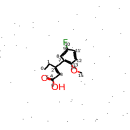 CCC(=CC(=O)O)c1cc(F)ccc1OC